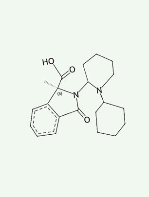 C[C@@]1(C(=O)O)c2ccccc2C(=O)N1C1CCCCN1C1CCCCC1